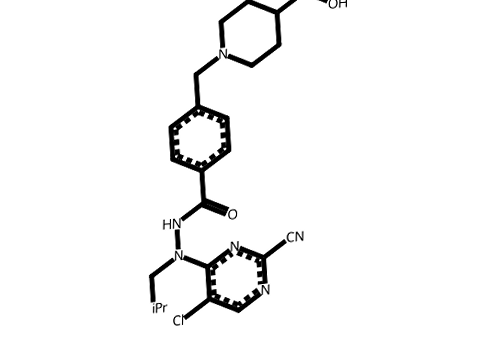 CC(C)CN(NC(=O)c1ccc(CN2CCC(CO)CC2)cc1)c1nc(C#N)ncc1Cl